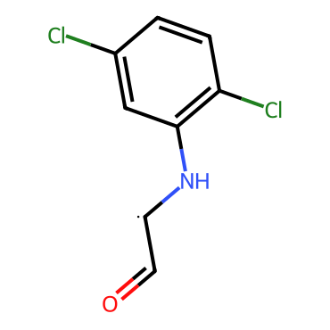 O=C[CH]Nc1cc(Cl)ccc1Cl